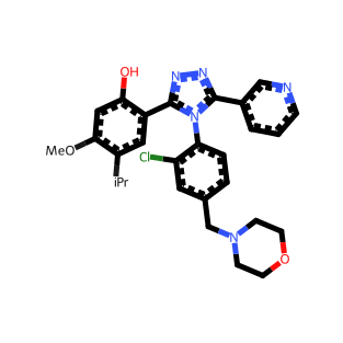 COc1cc(O)c(-c2nnc(-c3cccnc3)n2-c2ccc(CN3CCOCC3)cc2Cl)cc1C(C)C